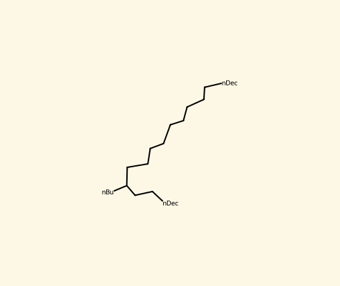 [CH2]CCCC(CCCCCCCCCCCC)CCCCCCCCCCCCCCCCCCC